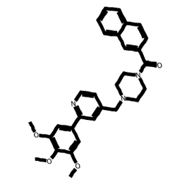 COc1cc(-c2cc(CN3CCN(C(=O)c4ccc5ccccc5c4)CC3)ccn2)cc(OC)c1OC